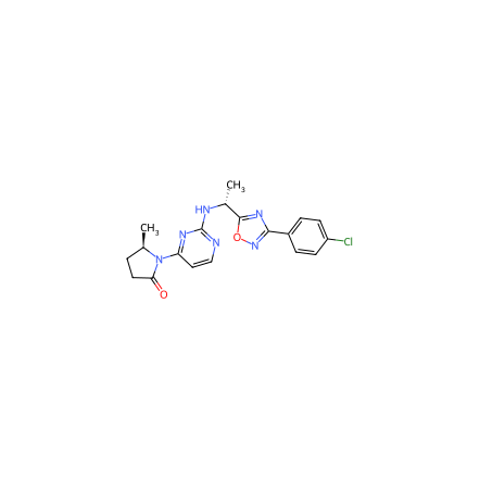 C[C@@H]1CCC(=O)N1c1ccnc(N[C@H](C)c2nc(-c3ccc(Cl)cc3)no2)n1